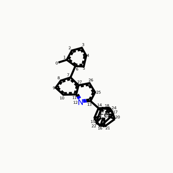 Cc1ccccc1-c1cccc2nc([C]34[CH]5[CH]6[CH]7[CH]3[Fe]6754389%10[CH]4[CH]3[CH]8[CH]9[CH]4%10)ccc12